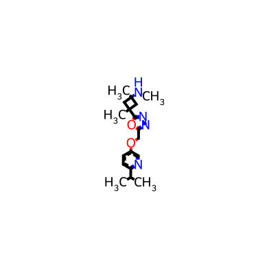 CNC1(C)CC(C)(c2nnc(COc3ccc(C(C)C)nc3)o2)C1